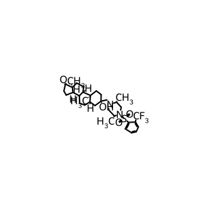 CC1CN(S(=O)(=O)c2ccccc2C(F)(F)F)C(C)CN1C[C@@]1(O)CC[C@@]2(C)[C@@H](CC[C@@H]3[C@@H]2CC[C@]2(C)C(=O)CC[C@@H]32)C1